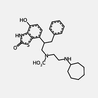 O=C(O)N(CCNC1CCCCCC1)CC(Cc1ccccc1)c1ccc(O)c2[nH]c(=O)sc12